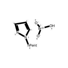 CCCCCn1cccn1.[O-][Br+2]([O-])O